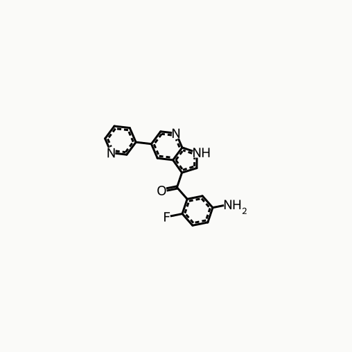 Nc1ccc(F)c(C(=O)c2c[nH]c3ncc(-c4cccnc4)cc23)c1